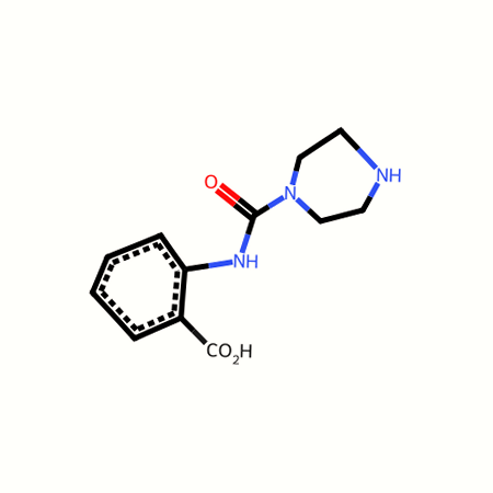 O=C(O)c1ccccc1NC(=O)N1CCNCC1